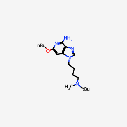 CCCCOc1cc2c(ncn2CCCCN(C)C(C)(C)C)c(N)n1